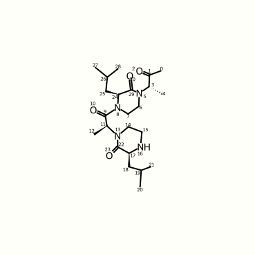 CC(=O)[C@H](C)N1CCN(C(=O)[C@H](C)N2CCN[C@@H](CC(C)C)C2=O)[C@@H](CC(C)C)C1=O